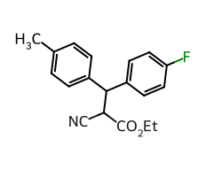 CCOC(=O)C(C#N)C(c1ccc(C)cc1)c1ccc(F)cc1